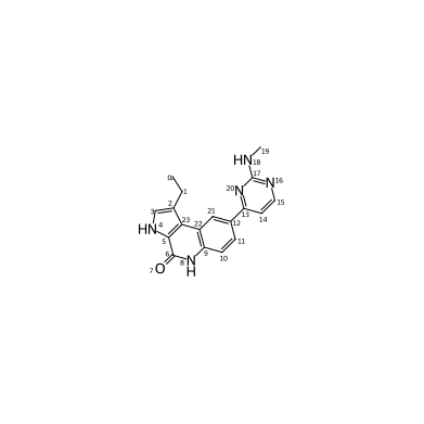 [CH2]Cc1c[nH]c2c(=O)[nH]c3ccc(-c4ccnc(NC)n4)cc3c12